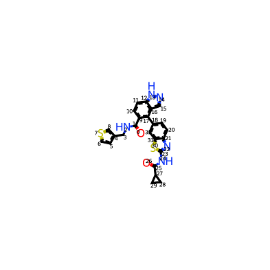 O=C(NCc1ccsc1)c1ccc2[nH]ncc2c1-c1ccc2nc(NC(=O)C3CC3)sc2c1